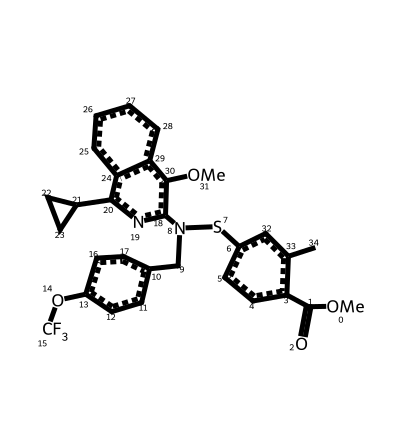 COC(=O)c1ccc(SN(Cc2ccc(OC(F)(F)F)cc2)c2nc(C3CC3)c3ccccc3c2OC)cc1C